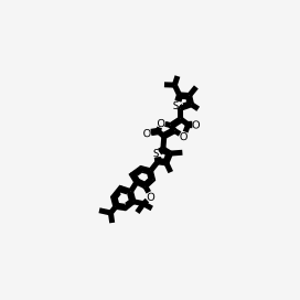 Cc1c(C2=C3OC(=O)C(c4sc(C(C)C)c(C)c4C)=C3OC2=O)sc(-c2ccc3c(c2)OC(C)(C)c2cc(C(C)C)ccc2-3)c1C